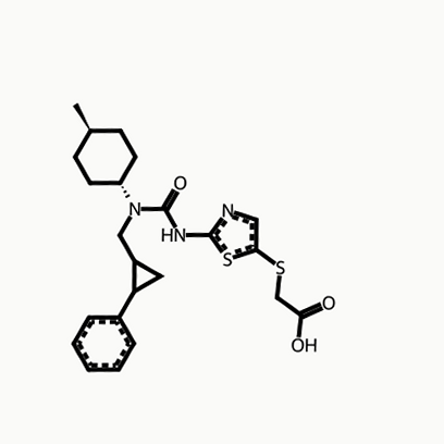 C[C@H]1CC[C@H](N(CC2CC2c2ccccc2)C(=O)Nc2ncc(SCC(=O)O)s2)CC1